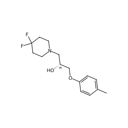 Cc1ccc(OC[C@H](O)CN2CCC(F)(F)CC2)cc1